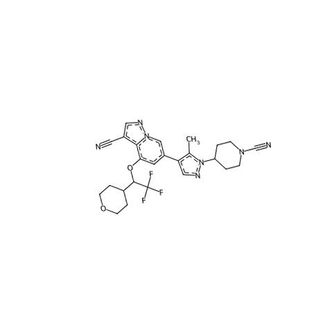 Cc1c(-c2cc(OC(C3CCOCC3)C(F)(F)F)c3c(C#N)cnn3c2)cnn1C1CCN(C#N)CC1